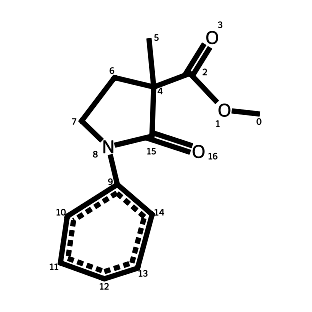 COC(=O)C1(C)CCN(c2ccccc2)C1=O